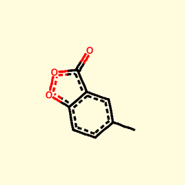 Cc1ccc2ooc(=O)c2c1